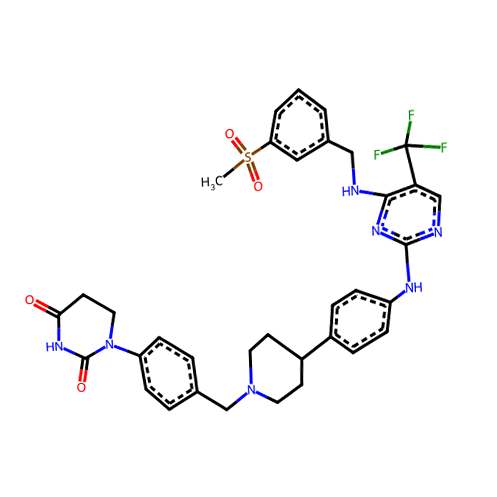 CS(=O)(=O)c1cccc(CNc2nc(Nc3ccc(C4CCN(Cc5ccc(N6CCC(=O)NC6=O)cc5)CC4)cc3)ncc2C(F)(F)F)c1